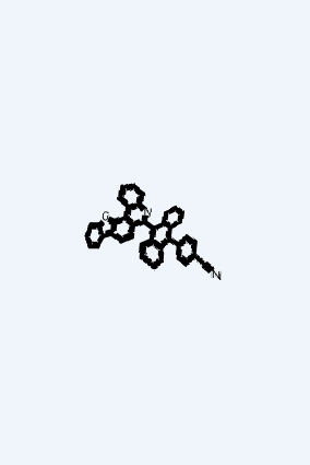 N#Cc1ccc(-c2c3ccccc3c(-c3nc4ccccc4c4c3ccc3c5ccccc5oc34)c3ccccc23)cc1